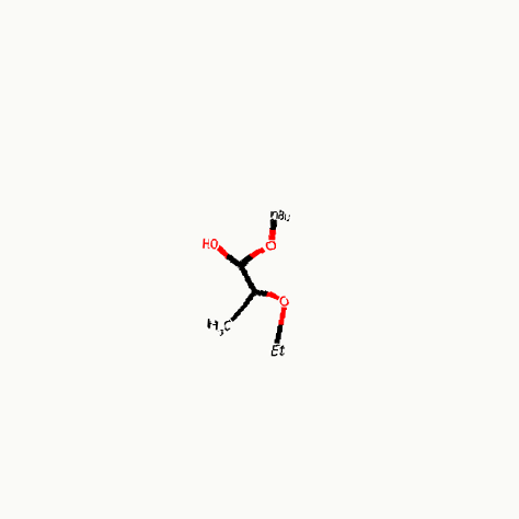 CCCCOC(O)C(C)OCC